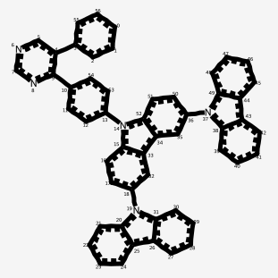 c1ccc(-c2cncnc2-c2ccc(-n3c4ccc(-n5c6ccccc6c6ccccc65)cc4c4cc(-n5c6ccccc6c6ccccc65)ccc43)cc2)cc1